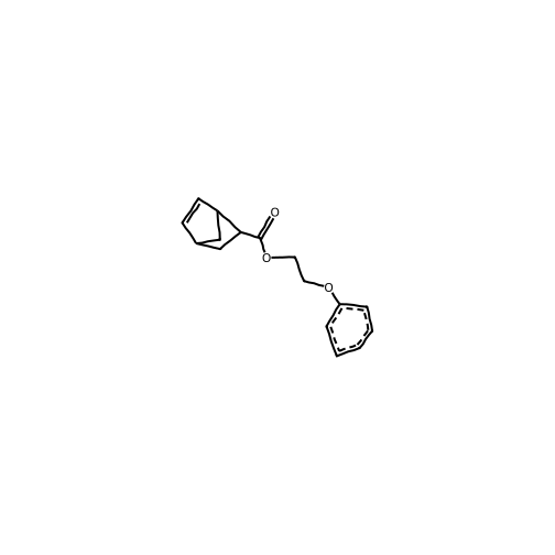 O=C(OCCOc1ccccc1)C1CC2C=CC1C2